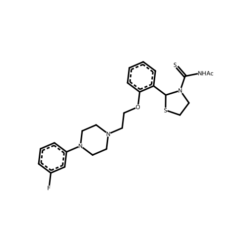 CC(=O)NC(=S)N1CCSC1c1ccccc1OCCN1CCN(c2cccc(F)c2)CC1